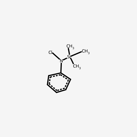 C[Si](C)(C)N(Cl)c1ccccc1